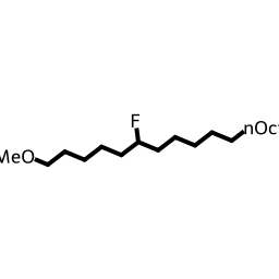 CCCCCCCCCCCCCC(F)CCCCCOC